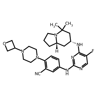 CC1(C)C[C@H](Nc2nc(Nc3ccc(N4CCN(C5COC5)CC4)c(C#N)c3)ncc2F)C[C@@H]2CCCN21